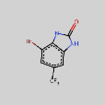 O=C1[N]c2c(Br)cc(C(F)(F)F)cc2N1